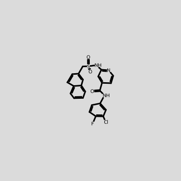 O=C(Nc1ccc(F)c(Cl)c1)c1ccnc(NS(=O)(=O)Cc2ccc3ccccc3c2)c1